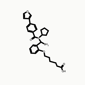 BC(c1ccccc1OCCCCCC(=O)O)N(C(=O)c1ccc(-c2ccoc2)cc1)C1CCCC1